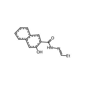 CCC=NNC(=O)c1cc2ccccc2cc1O